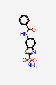 NS(=O)(=O)c1nc2ccc(NC(=O)c3ccccc3)cc2s1